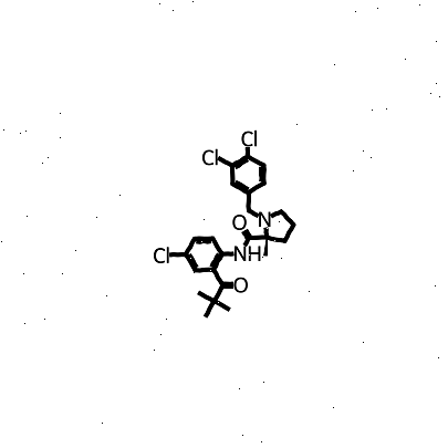 CC(C)(C)C(=O)c1cc(Cl)ccc1NC(=O)[C@@]1(C)CCCN1Cc1ccc(Cl)c(Cl)c1